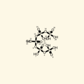 O=P(O)(O)OP(=O)(O)OP(=O)(O)OP(=O)(O)OP(=O)(O)O.[Gd]